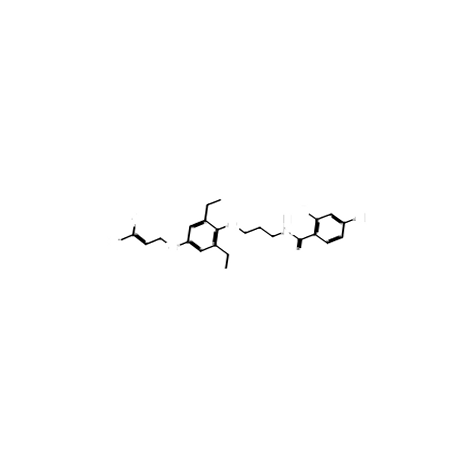 CCc1cc(OCC=C(Cl)Cl)cc(CC)c1OCCCNC(=O)c1ccc(Cl)cc1F